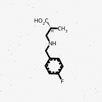 C[C@H](CNCc1ccc(F)cc1)C(=O)O